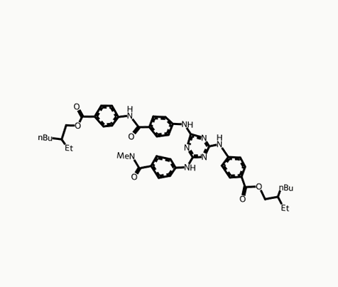 CCCCC(CC)COC(=O)c1ccc(NC(=O)c2ccc(Nc3nc(Nc4ccc(C(=O)NC)cc4)nc(Nc4ccc(C(=O)OCC(CC)CCCC)cc4)n3)cc2)cc1